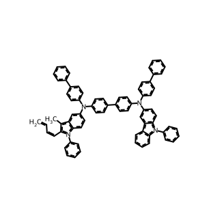 C=C/C=C\c1c(C)c2cc(N(c3ccc(-c4ccccc4)cc3)c3ccc(-c4ccc(N(c5ccc(-c6ccccc6)cc5)c5ccc6c(c5)c5ccccc5n6-c5ccccc5)cc4)cc3)ccc2n1-c1ccccc1